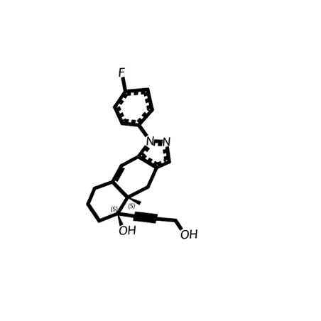 C[C@]12Cc3cnn(-c4ccc(F)cc4)c3C=C1CCC[C@@]2(O)C#CCO